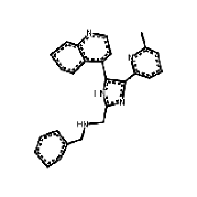 Cc1cccc(-c2nc(CNCc3ccccc3)[nH]c2-c2ccnc3ccccc23)n1